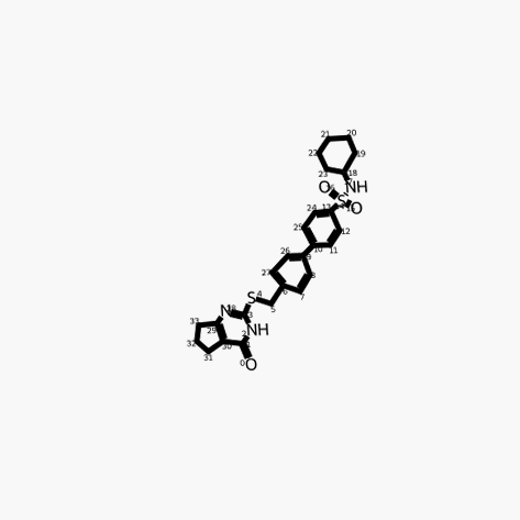 O=c1[nH]c(SCc2ccc(-c3ccc(S(=O)(=O)NC4CCCCC4)cc3)cc2)nc2c1CCC2